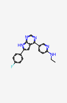 CCNc1ccc(-c2ncnc3[nH]c(-c4ccc(F)cc4)cc23)cn1